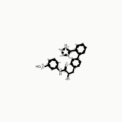 CCC(Cc1ccc(-c2ccccc2-c2nnn[nH]2)cc1)C(=O)Nc1cccc(C(=O)O)c1